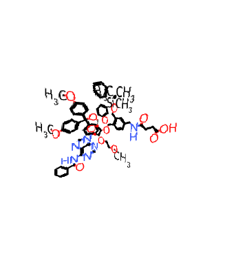 COCCO[C@H]1[C@@H](OC(=O)c2ccc(CNC(=O)CCC(=O)O)cc2CO[Si](c2ccccc2)(c2ccccc2)C(C)(C)C)[C@@H](COC(c2ccccc2)(c2ccc(OC)cc2)c2ccc(OC)cc2)O[C@H]1n1cnc2c(NC(=O)c3ccccc3)ncnc21